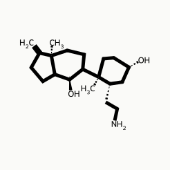 C=C1CCC2[C@H](O)C([C@@]3(C)CC[C@H](O)C[C@@H]3CCN)CC[C@]12C